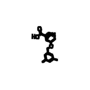 Cc1cc(C)cc(COC2CN3CCC2C(C(=O)O)C3)c1